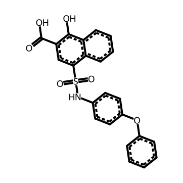 O=C(O)c1cc(S(=O)(=O)Nc2ccc(Oc3ccccc3)cc2)c2ccccc2c1O